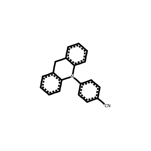 N#Cc1ccc(N2c3ccccc3Cc3ccccc32)cc1